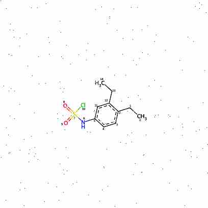 CCc1ccc(NS(=O)(=O)Cl)cc1CC